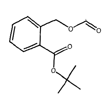 CC(C)(C)OC(=O)c1ccccc1CO[C]=O